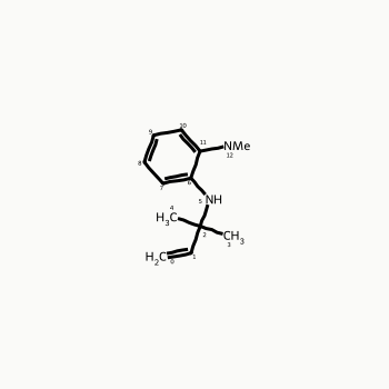 C=CC(C)(C)Nc1ccccc1NC